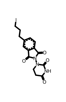 O=C1CCN(N2C(=O)c3ccc(CCCI)cc3C2=O)C(=O)N1